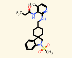 Cc1ccnc(NCC2CCC3(CC2)CN(S(C)(=O)=O)c2ccccc23)c1NC(=O)CC(F)(F)F